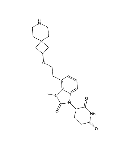 Cn1c(=O)n(C2CCC(=O)NC2=O)c2cccc(CCOC3CC4(CCNCC4)C3)c21